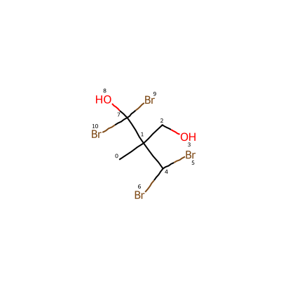 CC(CO)(C(Br)Br)C(O)(Br)Br